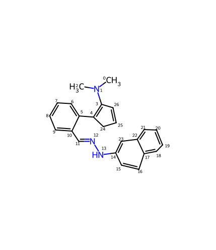 CN(C)C1=C(c2ccccc2C=NNc2ccc3ccccc3c2)CC=C1